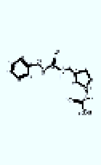 CC(C)(C)C(=O)ON1CCC(CNC(=O)OCc2ccccc2)C1